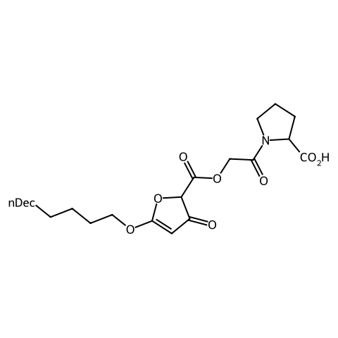 CCCCCCCCCCCCCCOC1=CC(=O)C(C(=O)OCC(=O)N2CCCC2C(=O)O)O1